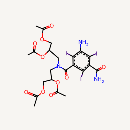 CC(=O)OCC(CN(CC(COC(C)=O)OC(C)=O)C(=O)c1c(I)c(N)c(I)c(C(N)=O)c1I)OC(C)=O